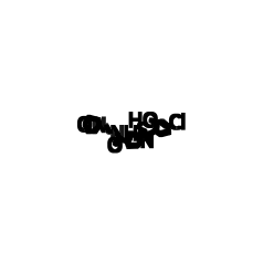 O=C(NCCN1CCOCC1)c1ccc2nc(-c3ccc(Cl)cc3O)sc2c1